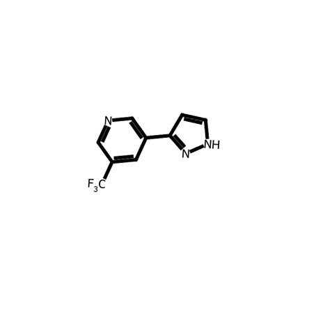 FC(F)(F)c1cncc(-c2cc[nH]n2)c1